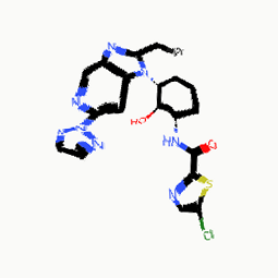 CC(C)Cc1nc2cnc(-n3nccn3)cc2n1[C@@H]1CCC[C@H](NC(=O)c2ncc(Cl)s2)[C@H]1O